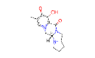 Cc1cn2c(c(O)c1=O)C(=O)N1CC3CCCN3[C@@H]1C2